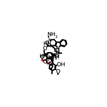 CCN1CC2(C)Cc3cc(C)c(OC)c(O)c3C1[C@@H]1[C@@H]3SC[C@]4(N[C@H](CN)Cc5c4[nH]c4ccccc54)C(=O)OC[C@@H](c4c5c(c(C)c(OC(C)=O)c43)OCO5)N12